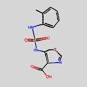 Cc1ccccc1NS(=O)(=O)Nc1scnc1C(=O)O